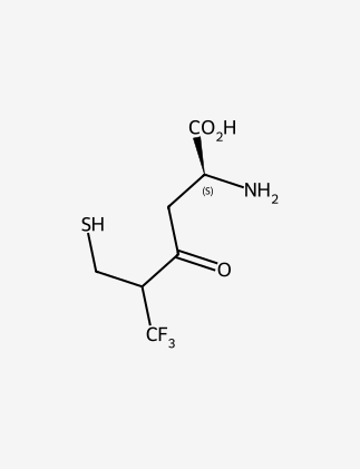 N[C@@H](CC(=O)C(CS)C(F)(F)F)C(=O)O